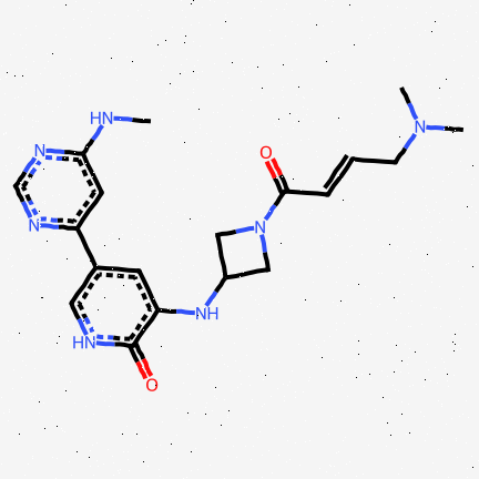 CNc1cc(-c2c[nH]c(=O)c(NC3CN(C(=O)C=CCN(C)C)C3)c2)ncn1